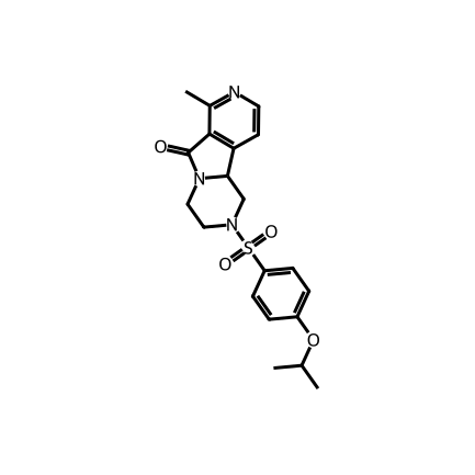 Cc1nccc2c1C(=O)N1CCN(S(=O)(=O)c3ccc(OC(C)C)cc3)CC21